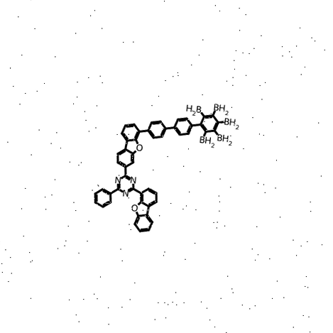 Bc1c(B)c(B)c(-c2ccc(-c3ccc(-c4cccc5c4oc4cc(-c6nc(-c7ccccc7)nc(-c7cccc8c7oc7ccccc78)n6)ccc45)cc3)cc2)c(B)c1B